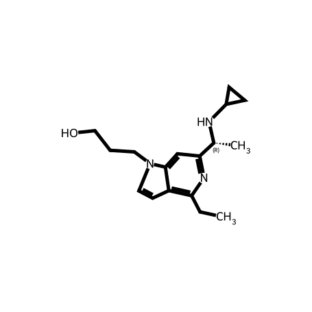 CCc1nc([C@@H](C)NC2CC2)cc2c1ccn2CCCO